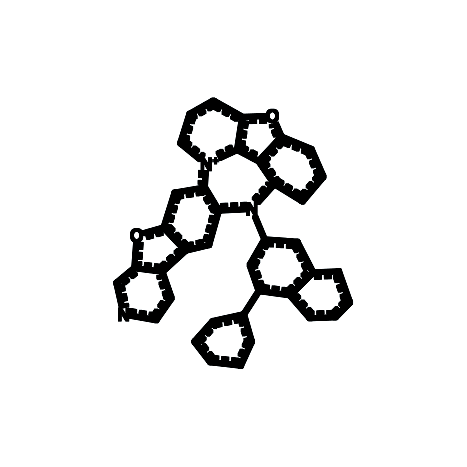 c1ccc(-c2cc(-n3c4cccc5oc6ccc[n+](c7cc8oc9cnccc9c8cc73)c6c54)cc3ccccc23)cc1